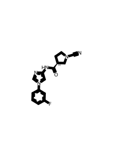 N#CN1CC[C@H](C(=O)Nc2cn(-c3cccc(F)c3)cn2)C1